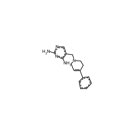 Nc1ncc(CN2CC=C(c3ccccc3)CC2)c(N)n1